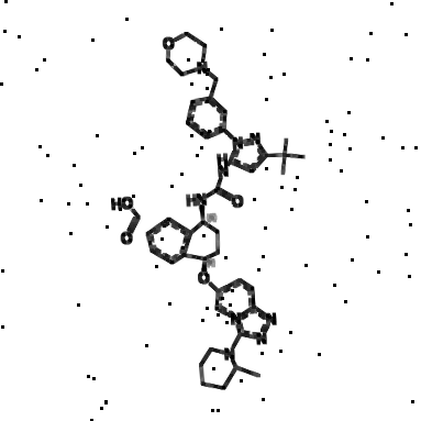 CC1CCCCN1c1nnc2ccc(O[C@@H]3CC[C@H](NC(=O)Nc4cc(C(C)(C)C)nn4-c4cccc(CN5CCOCC5)c4)c4ccccc43)cn12.O=CO